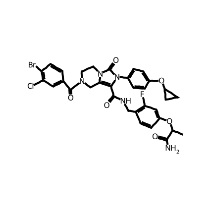 CC(Oc1ccc(CNC(=O)c2c3n(c(=O)n2-c2ccc(OC4CC4)cc2)CCN(C(=O)c2ccc(Br)c(Cl)c2)C3)c(F)c1)C(N)=O